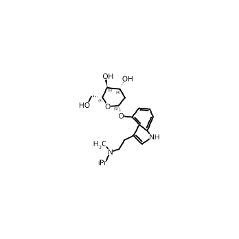 CC(C)N(C)CCc1c[nH]c2cccc(O[C@H]3C[C@@H](O)[C@H](O)[C@@H](CO)O3)c12